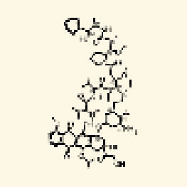 CC[C@H](CC[C@@H]1CC(O[C@H]2C[C@](O)(C(=O)CO)Cc3c(OC(C)C)c4c(c(O)c32)C(=O)c2c(OC)cccc2C4=O)C[C@H](N)[C@@H]1O)[C@@H]([C@@H](CC(=O)N1CCCC1[C@H](OC)[C@@H](C)C(=O)N[C@H](C)[C@@H](O)c1ccccc1)OC)N(C)C(=O)[C@@H](NC(=O)C(C(C)C)N(C)C)C(C)C